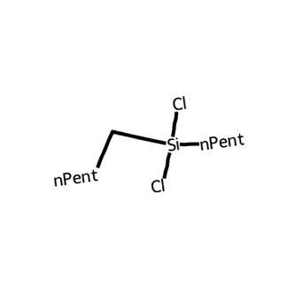 CCCCCC[Si](Cl)(Cl)CCCCC